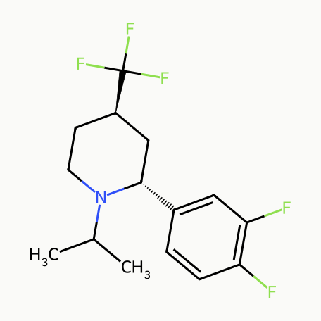 CC(C)N1CC[C@@H](C(F)(F)F)C[C@@H]1c1ccc(F)c(F)c1